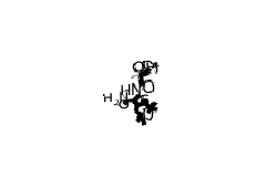 COC[C@](C)(O)C(=O)Nc1sc2c(c1C(N)=O)CC(C)(C)OC2(C)C